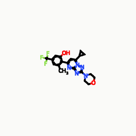 Cc1cc(C(F)(F)F)cc(O)c1-c1cc(C2CC2)n2nc(N3CCOCC3)nc2n1